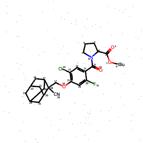 CC(C)(C)OC(=O)C1CCCN1C(=O)c1cc(Cl)c(OCC2(C#N)C3CC4CC(C3)CC2C4)cc1F